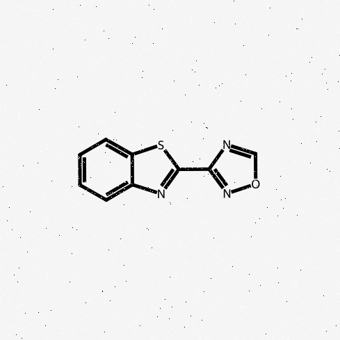 c1ccc2sc(-c3ncon3)nc2c1